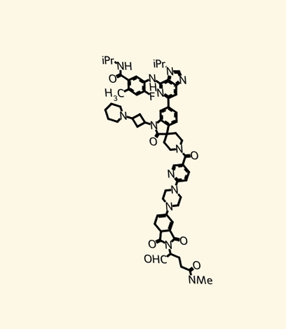 CNC(=O)CCC(C=O)N1C(=O)C2=CC(N3CCN(c4ccc(C(=O)N5CCC6(CC5)C(=O)N(C5CC(N7CCCCC7)C5)c5cc(-c7cc8ncn(C(C)C)c8c(Nc8cc(C(=O)NC(C)C)c(C)cc8F)n7)ccc56)cn4)CC3)=CCC2C1=O